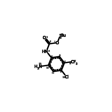 CC(C)(C)OC(=O)Nc1cc(C(F)(F)F)c(Cl)cc1N